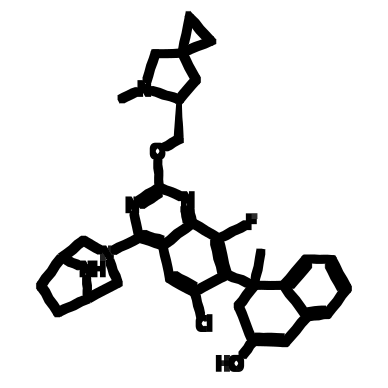 CN1CC2(CC2)C[C@H]1COc1nc(N2CC3CCC(C2)N3)c2cc(Cl)c(C3(C)CC(O)=Cc4ccccc43)c(F)c2n1